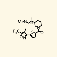 CNC[C@H](C)C1CCCN(C(=O)c2ccc(-c3noc(C(F)(F)F)c3C)s2)C1